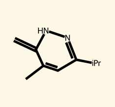 C=C1NN=C(C(C)C)C=C1C